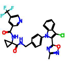 Cc1noc(-c2c(Cl)c3ccccc3n2-c2ccc(CNC(=O)C3(NC(=O)c4cncc(C(F)(F)F)c4)CC3)cc2)n1